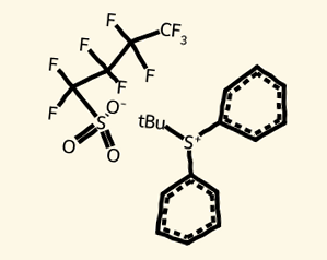 CC(C)(C)[S+](c1ccccc1)c1ccccc1.O=S(=O)([O-])C(F)(F)C(F)(F)C(F)(F)C(F)(F)F